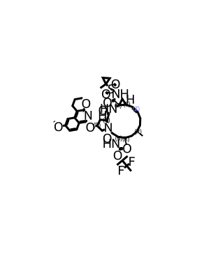 COc1ccc2c(O[C@@H]3C[C@H]4C(=O)N[C@]5(C(=O)NS(=O)(=O)C6(C)CC6)C[C@H]5/C=C\CC[C@@H](C)C[C@@H](C)[C@H](NC(=O)OC(C)(C)C(C)(F)F)C(=O)N4C3)nc3c(c2c1)CCCO3